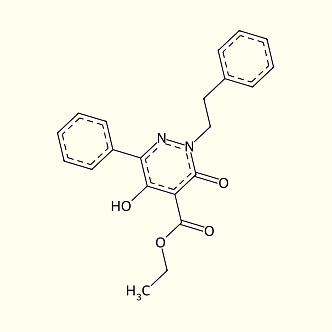 CCOC(=O)c1c(O)c(-c2ccccc2)nn(CCc2ccccc2)c1=O